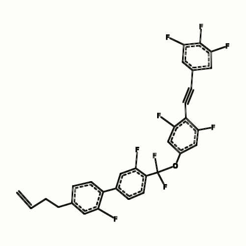 C=CCCc1ccc(-c2ccc(C(F)(F)Oc3cc(F)c(C#Cc4cc(F)c(F)c(F)c4)c(F)c3)c(F)c2)c(F)c1